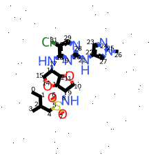 CCC(C)CS(=O)(=O)N[C@H]1COC2C1OC[C@H]2Nc1nc(Nc2cnn(C)c2)ncc1Cl